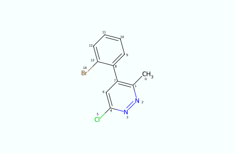 Cc1nnc(Cl)cc1-c1ccccc1Br